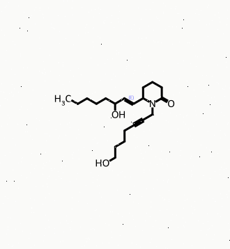 CCCCCC(O)/C=C/C1CCCC(=O)N1CC#CCCCCO